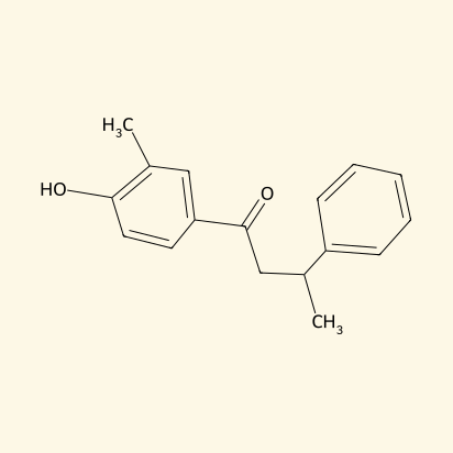 Cc1cc(C(=O)CC(C)c2ccccc2)ccc1O